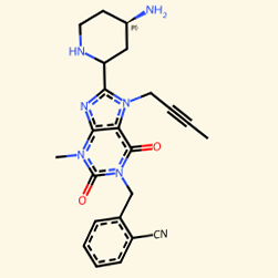 CC#CCn1c(C2C[C@H](N)CCN2)nc2c1c(=O)n(Cc1ccccc1C#N)c(=O)n2C